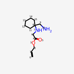 C=CCOC(=O)CNC1(CN)CCCCC1